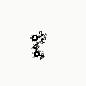 COc1nn(C)c(=O)n1-c1ccccc1Oc1nc(-c2cccc(C(F)(F)F)c2)cs1